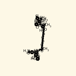 COc1cc(C(=O)NCCOCCOCCOCCOCCN(C)C(=O)CCNc2nc(N3CCN(C(N)=O)CC3)c3cc(Cl)c(-c4c(O)cccc4F)c(F)c3n2)ccc1NC(=O)[C@@H]1N[C@@H](CC(C)(C)C)[C@](C#N)(c2ccc(Cl)cc2F)[C@H]1c1cccc(Cl)c1F